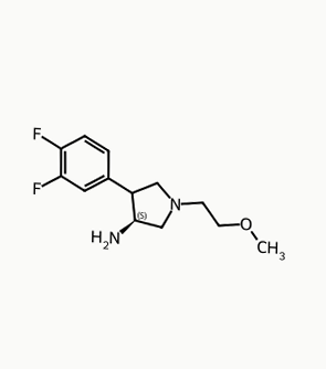 COCCN1CC(c2ccc(F)c(F)c2)[C@H](N)C1